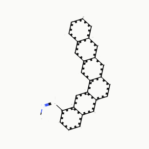 [SiH3]/N=[SiH]\c1cccc2cc3ccc4cc5cc6ccccc6cc5cc4c3cc12